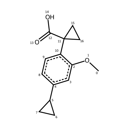 COc1cc(C2CC2)ccc1C1(C(=O)O)CC1